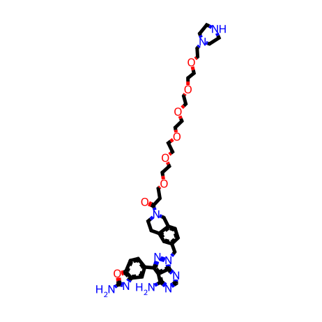 Nc1nc2cc(-c3nn(Cc4ccc5c(c4)CCN(C(=O)CCOCCOCCOCCOCCOCCOCCN4CCNCC4)C5)c4ncnc(N)c34)ccc2o1